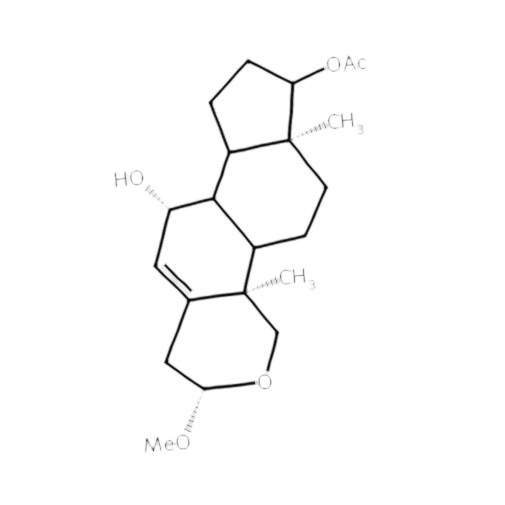 CO[C@@H]1CC2=C[C@H](O)C3C4CCC(OC(C)=O)[C@@]4(C)CCC3[C@@]2(C)CO1